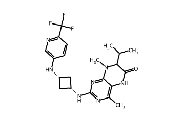 Cc1nc(N[C@H]2C[C@@H](Nc3ccc(C(F)(F)F)nc3)C2)nc2c1NC(=O)C(C(C)C)N2C